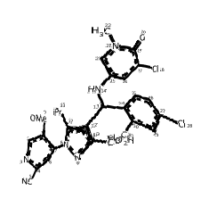 COc1cnc(C#N)cc1-n1nc(C(=O)O)c(C(Nc2cc(Cl)c(=O)n(C)c2)c2ccc(Cl)cc2C)c1C(C)C